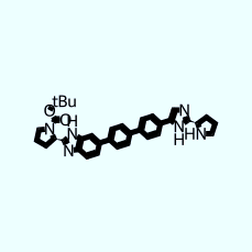 CC(C)(C)OC(=O)N1CCC[C@H]1c1nc2ccc(-c3ccc(-c4ccc(-c5cnc([C@@H]6CCCN6)[nH]5)cc4)cc3)cc2[nH]1